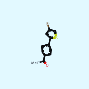 COC(=O)c1ccc(-c2cc(Br)cs2)cc1